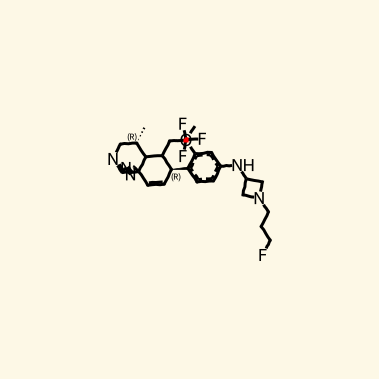 COc1cc(NC2CN(CCCF)C2)ccc1[C@H]1C=CC23CN=NC2=NC[C@H](C)C3C1CC(F)(F)F